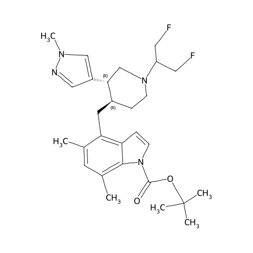 Cc1cc(C)c2c(ccn2C(=O)OC(C)(C)C)c1C[C@@H]1CCN(C(CF)CF)C[C@H]1c1cnn(C)c1